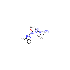 CC#CCn1c(N2CCC[C@@H](N)C2)nc(NC)c1C(=O)NCc1nc(C)c2ccccc2n1